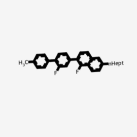 CCCCCCCc1ccc2c(F)c(-c3ccc(-c4ccc(C)cc4)c(F)c3)ccc2c1